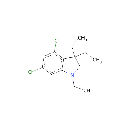 CCN1CC(CC)(CC)c2c(Cl)cc(Cl)cc21